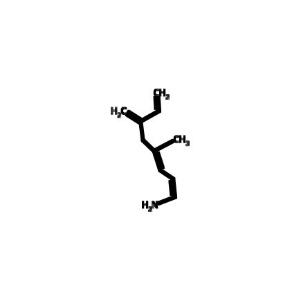 C=CC(=C)C/C(C)=C/C=C\N